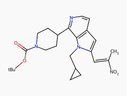 CC(=Cc1cc2ccnc(C3CCN(C(=O)OC(C)(C)C)CC3)c2n1CC1CC1)[N+](=O)[O-]